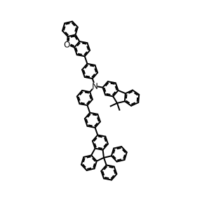 CC1(C)c2ccccc2-c2ccc(N(c3ccc(-c4ccc5c(c4)oc4ccccc45)cc3)c3cccc(-c4ccc(-c5ccc6c(c5)-c5ccccc5C6(c5ccccc5)c5ccccc5)cc4)c3)cc21